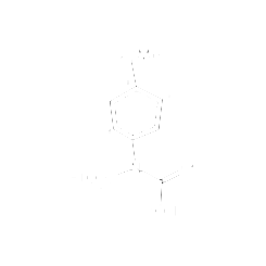 CCOC(=O)N(C(O)=S)c1ccc(OC)cc1